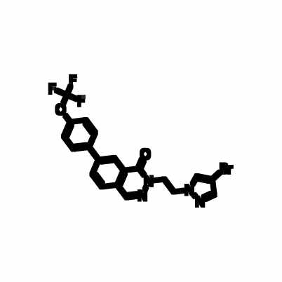 O=c1c2cc(-c3ccc(OC(F)(F)F)cc3)ccc2cnn1CCn1cc(Br)cn1